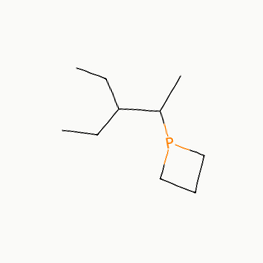 CCC(CC)C(C)P1CCC1